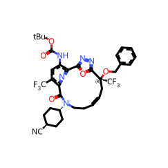 CC(C)(C)OC(=O)Nc1cc(C(F)(F)F)c2nc1-c1nnc(o1)[C@@](OCc1ccccc1)(C(F)(F)F)CC=CCCN([C@H]1CC[C@H](C#N)CC1)C2=O